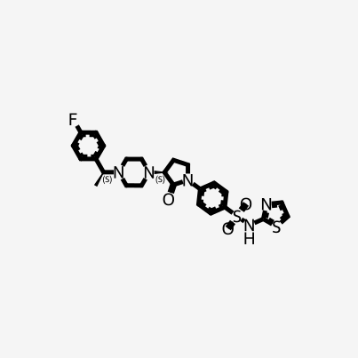 C[C@@H](c1ccc(F)cc1)N1CCN([C@H]2CCN(c3ccc(S(=O)(=O)Nc4nccs4)cc3)C2=O)CC1